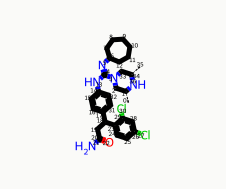 C[C@@H]1CN(/C(=N\C2CCCCCC2)Nc2ccc(C(CC(N)=O)c3ccc(Cl)cc3Cl)cc2)C[C@H](C)N1